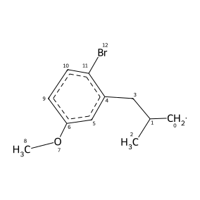 [CH2]C(C)Cc1cc(OC)ccc1Br